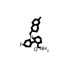 Cc1ccc2cc(Cn3c4cc(F)c[c]c4c4c(C(N)=O)cccc43)ccc2c1